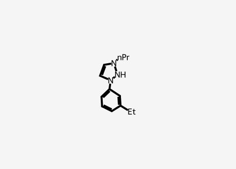 CCCN1C=CN(c2cccc(CC)c2)N1